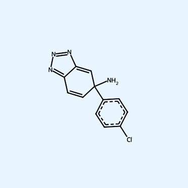 NC1(c2ccc(Cl)cc2)C=CC2=NN=NC2=C1